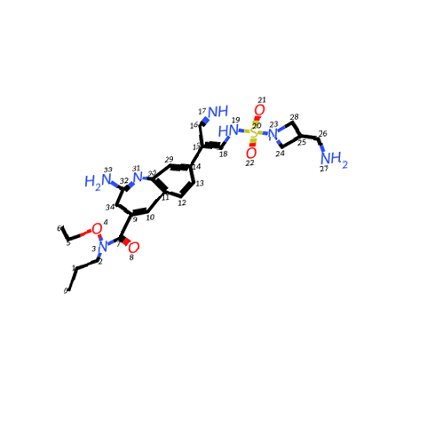 CCCN(OCC)C(=O)C1=Cc2ccc(/C(C=N)=C/NS(=O)(=O)N3CC(CN)C3)cc2N=C(N)C1